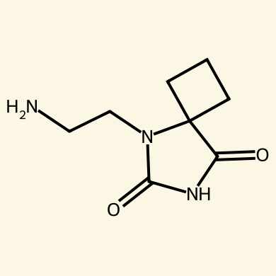 NCCN1C(=O)NC(=O)C12CCC2